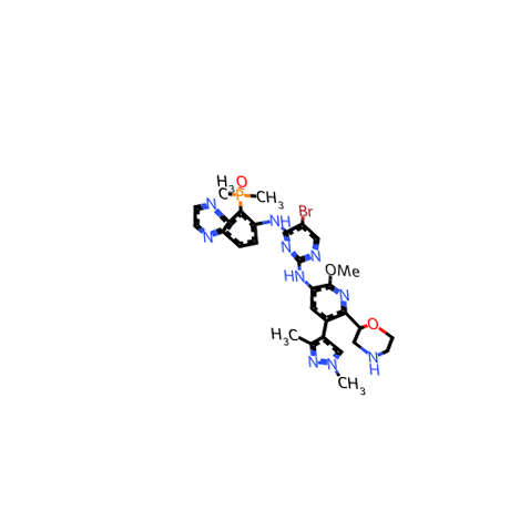 COc1nc(C2CNCCO2)c(-c2cn(C)nc2C)cc1Nc1ncc(Br)c(Nc2ccc3nccnc3c2P(C)(C)=O)n1